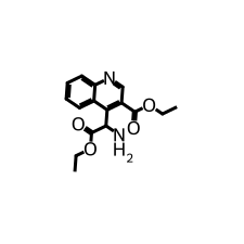 CCOC(=O)c1cnc2ccccc2c1C(N)C(=O)OCC